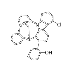 Oc1ccccc1-c1ccc2c3c(Cl)cccc3n3c4cccc5c6ccccc6c(cc54)c1c23